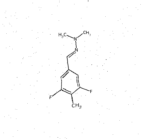 Cc1c(F)cc(/C=N/N(C)C)cc1F